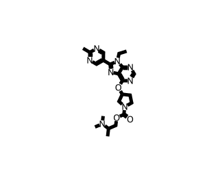 CCn1c(-c2cnc(C)nc2)nc2c(OC3CCN(C(=O)OCC(C)N(C)C)C3)ncnc21